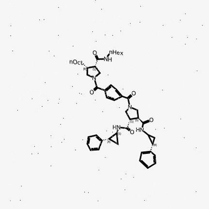 CCCCCCCC[C@H]1CN(C(=O)c2ccc(C(=O)N3C[C@@H](C(=O)NC4C[C@@H]4c4ccccc4)[C@H](C(=O)N[C@H]4C[C@@H]4c4ccccc4)C3)cc2)C[C@H]1C(=O)NCCCCCC